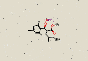 Cc1cc(C)c(C(=O)C(CC(C)CC(C)(C)C)C(=O)OC(C)C)c(C)c1.O=[PH3]